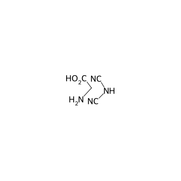 N#CNC#N.NCC(=O)O